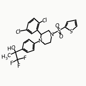 CC(O)(c1ccc(N2CCN(S(=O)(=O)c3cccs3)CC2c2cc(Cl)ccc2Cl)cc1)C(F)(F)F